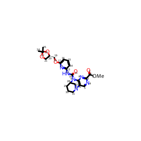 COC(=O)c1ncc2c(n1)N(C(=O)Nc1cccc(OC[C@@H]3COC(C)(C)O3)n1)C1CCCN2C1